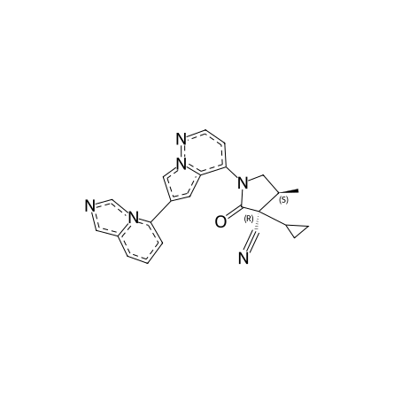 C[C@@H]1CN(c2ccnn3cc(-c4cccc5cncn45)cc23)C(=O)[C@]1(C#N)C1CC1